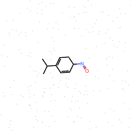 CC(C)C1=CCC(N=O)C=C1